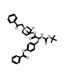 CC(C)(C)OC(=O)N[C@@H](Cc1ccc(OC(=O)c2ccccc2)cc1)C(=O)O[C@H]1C[N+]2(CC(=O)c3ccccc3)CCC1CC2